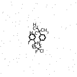 CCC(C)(C)c1cccc(N(SC(F)(Cl)Cl)C(=O)c2ccccc2I)c1